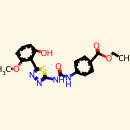 CCOC(=O)c1ccc(NC(=O)Nc2nnc(-c3c(O)cccc3OC)s2)cc1